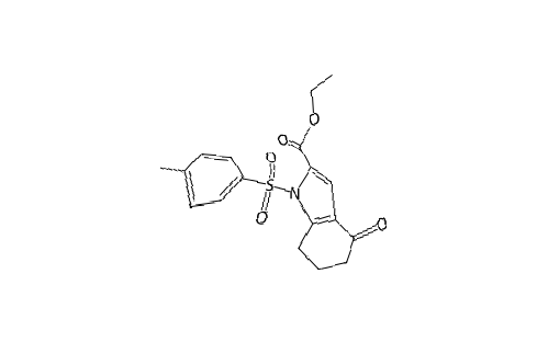 CCOC(=O)c1cc2c(n1S(=O)(=O)c1ccc(C)cc1)CCCC2=O